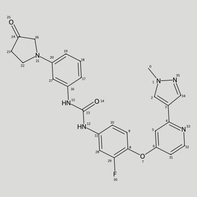 Cn1cc(-c2cc(Oc3ccc(NC(=O)Nc4cccc(N5CCC(=O)C5)c4)cc3F)ccn2)cn1